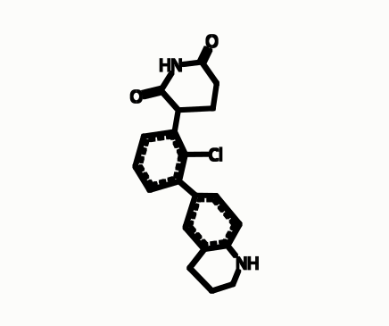 O=C1CCC(c2cccc(-c3ccc4c(c3)CCCN4)c2Cl)C(=O)N1